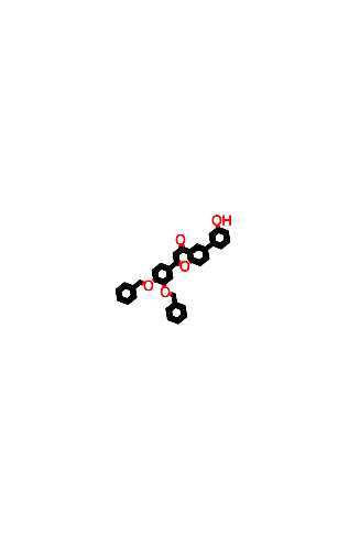 O=c1cc(-c2ccc(OCc3ccccc3)c(OCc3ccccc3)c2)oc2ccc(-c3cccc(O)c3)cc12